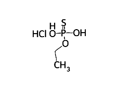 CCOP(O)(O)=S.Cl